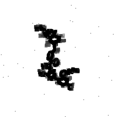 CCc1nc(-c2ccc(Cl)cc2OC)sc1NC(=O)OCc1ccc2nn(CC)cc2c1